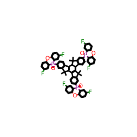 CC1(C)C2=C(c3ccc(P4(=O)c5cc(F)ccc5Oc5ccc(F)cc54)cc31)C1C(C3=C2c2ccc(P4(=O)c5cc(F)ccc5Oc5ccc(F)cc54)cc2C3(C)C)c2ccc(P3(=O)c4cc(F)ccc4Oc4ccc(F)cc43)cc2C1(C)C